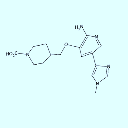 Cn1cnc(-c2cnc(N)c(OCC3CCN(C(=O)O)CC3)c2)c1